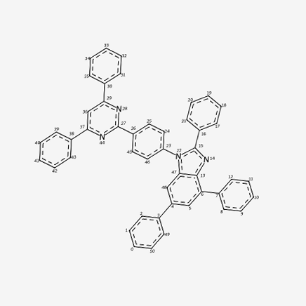 c1ccc(-c2cc(-c3ccccc3)c3nc(-c4ccccc4)n(-c4ccc(-c5nc(-c6ccccc6)cc(-c6ccccc6)n5)cc4)c3c2)cc1